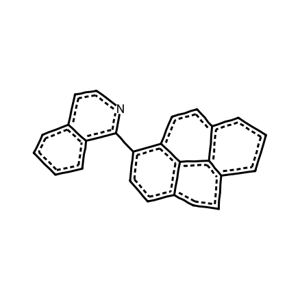 c1ccc2c(-c3ccc4ccc5cccc6ccc3c4c56)nccc2c1